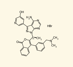 Br.C[C@@H](c1oc(=O)c2ccccc2c1-c1cccc(CN(C)C)c1)n1nc(-c2cncc(O)c2)c2c(N)ncnc21